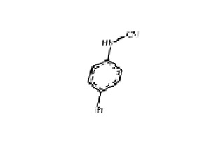 CC(C)c1ccc(NC#N)cc1